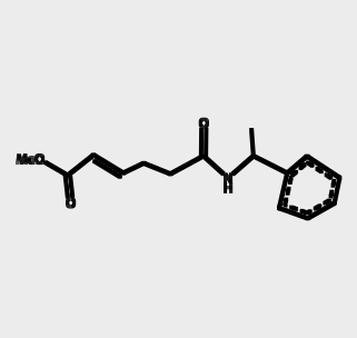 COC(=O)C=CCCC(=O)NC(C)c1ccccc1